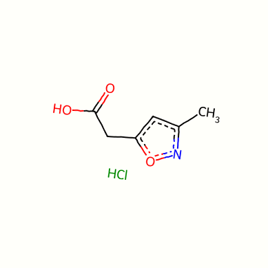 Cc1cc(CC(=O)O)on1.Cl